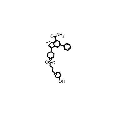 NC(=O)c1cc(-c2ccccc2)cc2c(C3CCN(S(=O)(=O)CCCN4CCC(O)C4)CC3)c[nH]c12